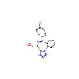 Cc1nnc2n1-c1ccccc1C(c1ccc(Cl)cc1)=N[C@H]2CO